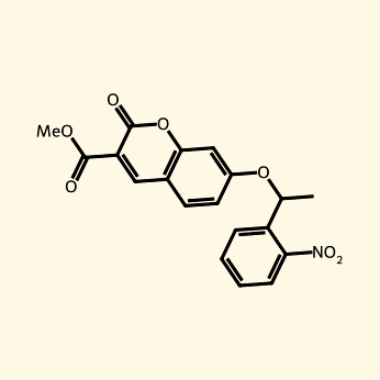 COC(=O)c1cc2ccc(OC(C)c3ccccc3[N+](=O)[O-])cc2oc1=O